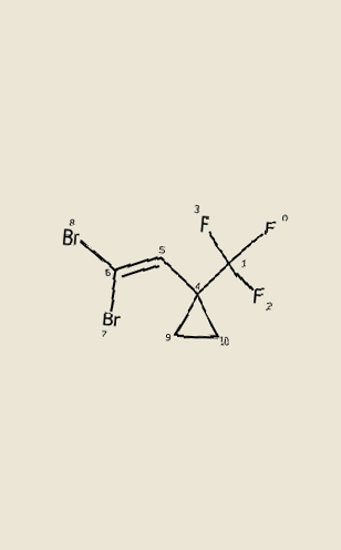 FC(F)(F)C1(C=C(Br)Br)CC1